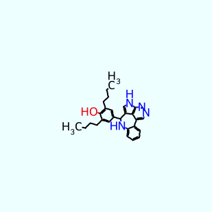 CCCCc1cc(C2Nc3ccccc3-c3cnnc4[nH]cc2c34)cc(CCCC)c1O